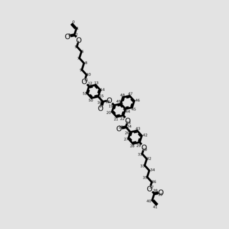 C=CC(=O)OCCCCCCOc1ccc(C(=O)Oc2ccc(OC(=O)c3ccc(OCCCCCCOC(=O)C=C)cc3)c3ccccc23)cc1